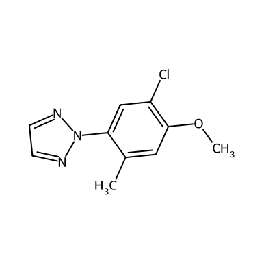 COc1cc(C)c(-n2nccn2)cc1Cl